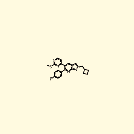 CSc1nccc(-c2cc3cn(CC4CCC4)nc3nc2-c2ccc(F)cc2)n1